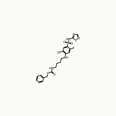 O=C(NCCCCNc1cc(F)c(S(=O)(=O)Nc2ncns2)cc1Cl)OCc1ccccc1